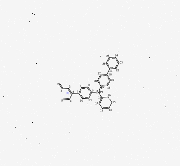 C=C/C=C(\C=C)c1ccc(N(C2=CC=CCC2)c2ccc(-c3ccccc3)cc2)cc1